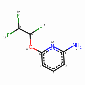 Nc1cccc(OC(F)C(F)F)n1